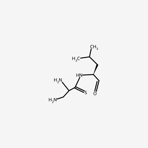 CC(C)C[C@@H](C=O)NC(=S)C(N)CN